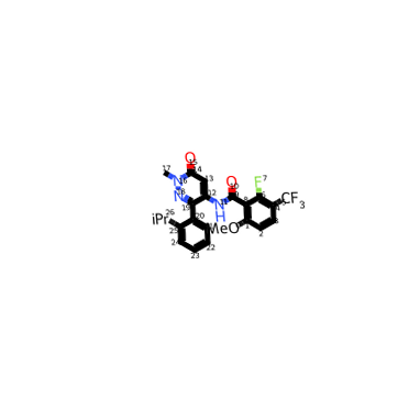 COc1ccc(C(F)(F)F)c(F)c1C(=O)Nc1cc(=O)n(C)nc1-c1ccccc1C(C)C